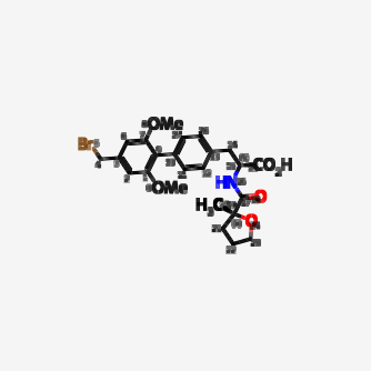 COc1cc(CBr)cc(OC)c1-c1ccc(C[C@H](NC(=O)[C@@]2(C)CCCO2)C(=O)O)cc1